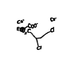 CCOC(=O)C(Cl)Cl.O=C([O-])[O-].[Cs+].[Cs+]